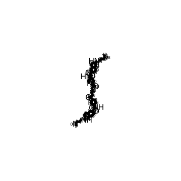 CN(C)CCCNc1ccc2cc(S(=O)(=O)Nc3ccc(C(=O)CSSCC(=O)c4ccc(NS(=O)(=O)c5ccc6nc(NCCCN(C)C)ccc6c5)cn4)nc3)ccc2n1